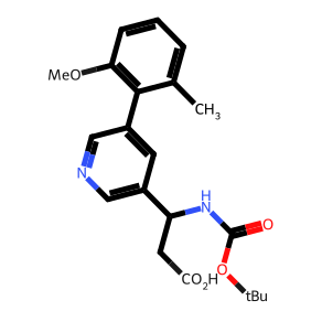 COc1cccc(C)c1-c1cncc(C(CC(=O)O)NC(=O)OC(C)(C)C)c1